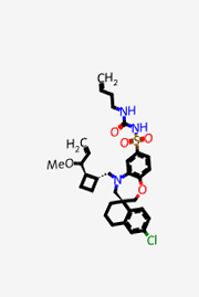 C=CCCNC(=O)NS(=O)(=O)c1ccc2c(c1)N(C[C@@H]1CC[C@H]1C(C=C)OC)C[C@@]1(CCCc3cc(Cl)ccc31)CO2